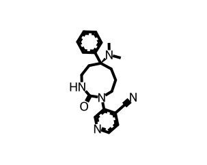 CN(C)[C@@]1(c2ccccc2)CCCN(c2cnccc2C#N)C(=O)NCC1